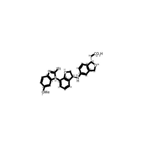 CCc1nc2ccc(OC)cc2n1-c1cccc2c1OC[C@H]2Nc1ccc2c(c1)CO[C@H]2CC(=O)O